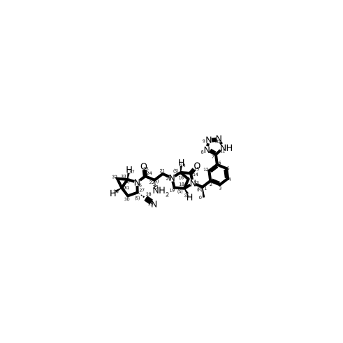 C[C@H](c1cccc(-c2nnn[nH]2)c1)N1C(=O)[C@@H]2C[C@H]1CN2C[C@H](N)C(=O)N1[C@H](C#N)C[C@@H]2C[C@@H]21